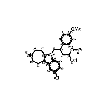 COc1ccc(C(CC(O)OC(C)C)Cn2c3c(c4cc(Cl)ccc42)CCN(C)CC3)cc1